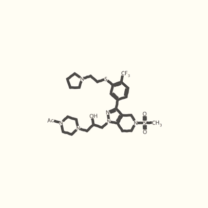 CC(=O)N1CCN(CC(O)Cn2nc(-c3ccc(C(F)(F)F)c(SCCN4CCCC4)c3)c3c2CCN(S(C)(=O)=O)C3)CC1